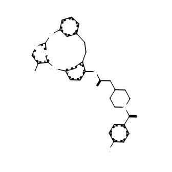 Nc1ccc(C(=O)N2CCC(CC(=O)Nc3ccc4cc3CCc3cccc(c3)Nc3ncc(Cl)c(n3)N4)CC2)cc1